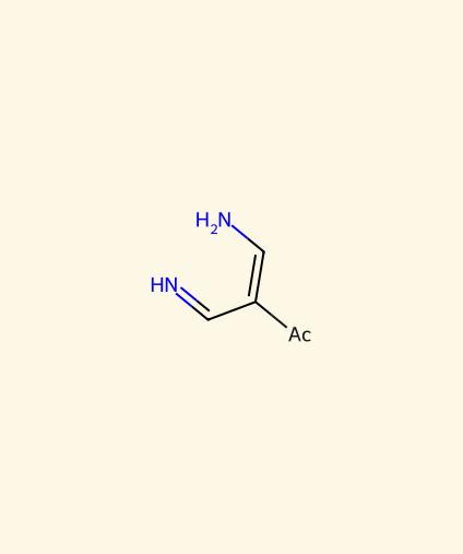 CC(=O)/C(C=N)=C/N